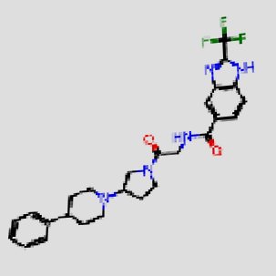 O=C(NCC(=O)N1CCC(N2CCC(c3ccccc3)CC2)C1)c1ccc2[nH]c(C(F)(F)F)nc2c1